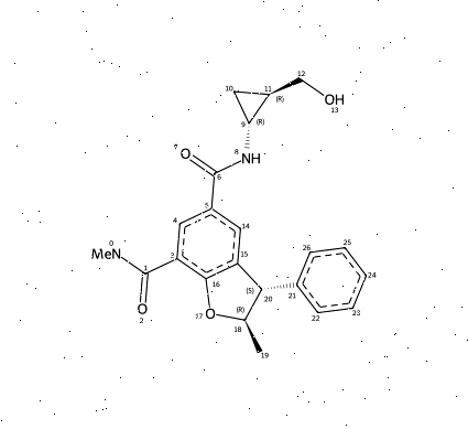 CNC(=O)c1cc(C(=O)N[C@@H]2C[C@H]2CO)cc2c1O[C@H](C)[C@H]2c1ccccc1